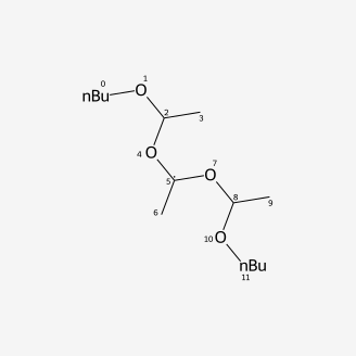 CCCCOC(C)O[C](C)OC(C)OCCCC